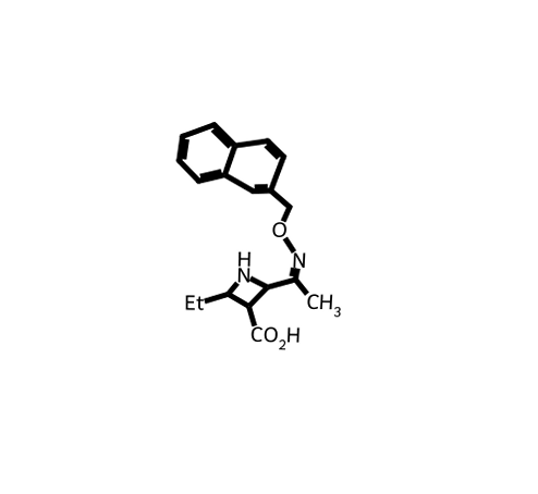 CCC1NC(C(C)=NOCc2ccc3ccccc3c2)C1C(=O)O